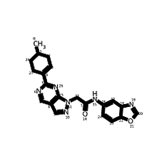 CC1CC=C(c2ncc3cnn(CC(=O)NC4=CC5N=COC5C=C4)c3n2)CC1